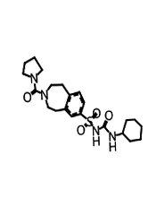 O=C(NC1CCCCC1)NS(=O)(=O)c1ccc2c(c1)CCN(C(=O)N1CCCC1)CC2